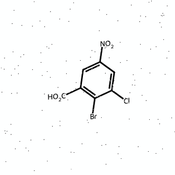 O=C(O)c1cc([N+](=O)[O-])cc(Cl)c1Br